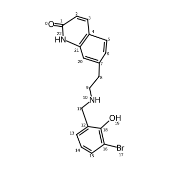 O=c1ccc2ccc(CCNCc3cccc(Br)c3O)cc2[nH]1